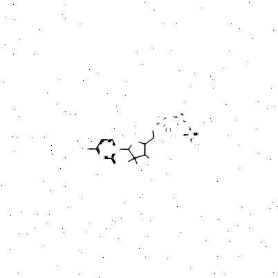 C[C@H](OP(=O)(O)OP(=O)(O)OP(=O)(O)O)C1OC(n2ccc(N)nc2=O)C(F)(F)C1O